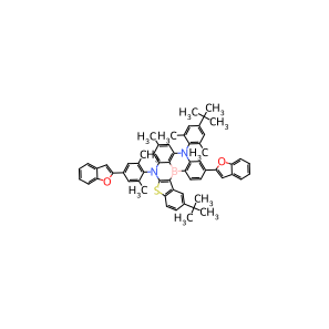 Cc1cc2c3c(c1)N(c1c(C)cc(-c4cc5ccccc5o4)cc1C)c1sc4ccc(C(C)(C)C)cc4c1B3c1ccc(-c3cc4ccccc4o3)cc1N2c1c(C)cc(C(C)(C)C)cc1C